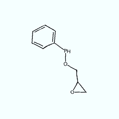 c1ccc(POCC2CO2)cc1